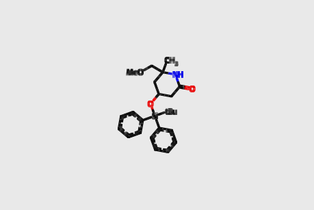 COCC1(C)CC(O[Si](c2ccccc2)(c2ccccc2)C(C)(C)C)CC(=O)N1